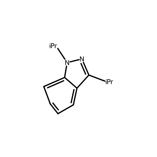 CC(C)c1nn(C(C)C)c2ccccc12